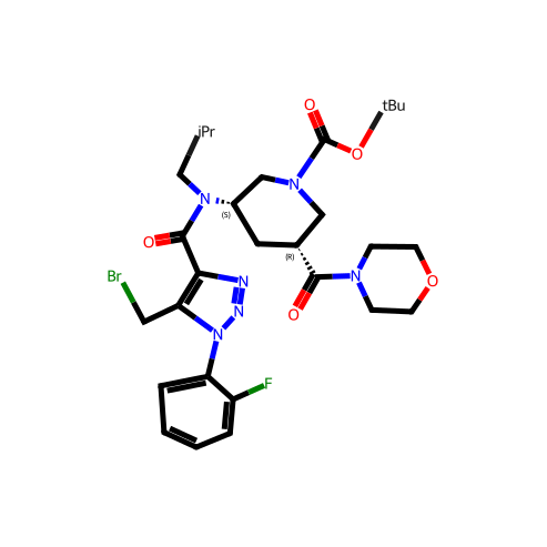 CC(C)CN(C(=O)c1nnn(-c2ccccc2F)c1CBr)[C@H]1C[C@@H](C(=O)N2CCOCC2)CN(C(=O)OC(C)(C)C)C1